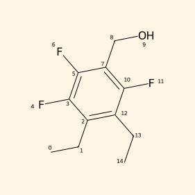 CCc1c(F)c(F)c(CO)c(F)c1CC